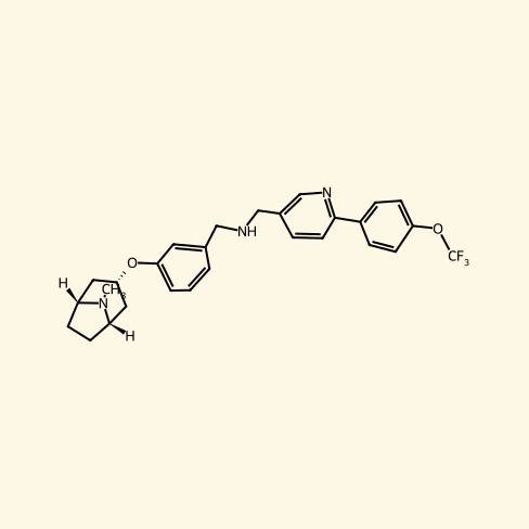 CN1[C@@H]2CC[C@H]1C[C@@H](Oc1cccc(CNCc3ccc(-c4ccc(OC(F)(F)F)cc4)nc3)c1)C2